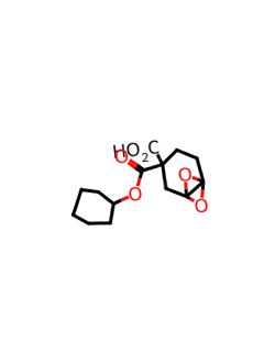 O=C(O)C1(C(=O)OC2CCCCC2)CCC23OC2(C1)O3